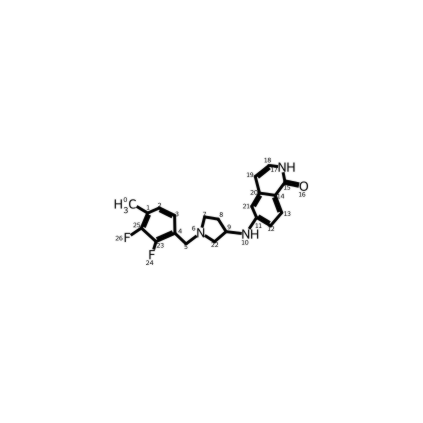 Cc1ccc(CN2CCC(Nc3ccc4c(=O)[nH]ccc4c3)C2)c(F)c1F